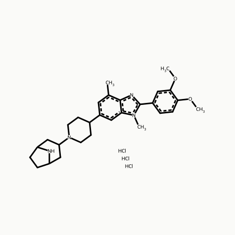 COc1ccc(-c2nc3c(C)cc(C4CCN(C5CC6CCC(C5)N6)CC4)cc3n2C)cc1OC.Cl.Cl.Cl